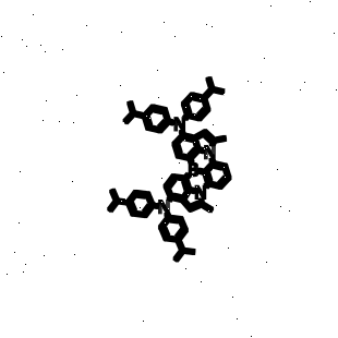 Cc1cc2c(N(c3ccc(C(C)C)cc3)c3ccc(C(C)C)cc3)ccc3c2n1-c1cccc2c1B3c1ccc(N(c3ccc(C(C)C)cc3)c3ccc(C(C)C)cc3)c3cc(C)n-2c13